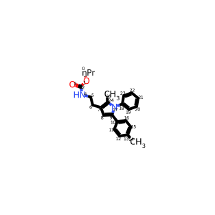 CCCOC(=O)NCCc1cc(-c2ccc(C)cc2)n(-c2ccccc2)c1C